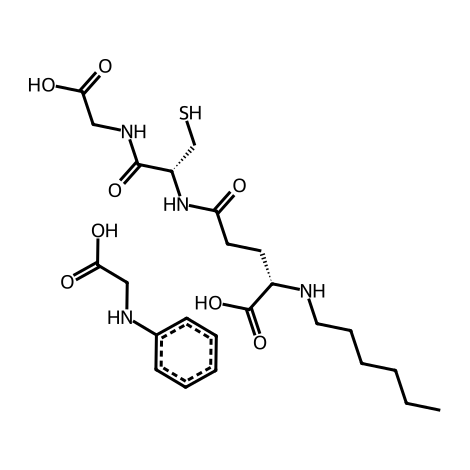 CCCCCCN[C@@H](CCC(=O)N[C@@H](CS)C(=O)NCC(=O)O)C(=O)O.O=C(O)CNc1ccccc1